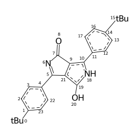 CC(C)(C)c1ccc(C2=NC(=O)c3c(-c4ccc(C(C)(C)C)cc4)[nH]c(O)c32)cc1